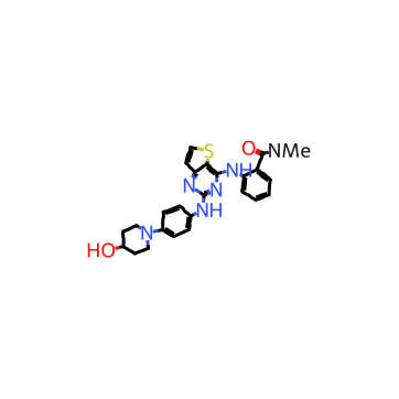 CNC(=O)c1ccccc1Nc1nc(Nc2ccc(N3CCC(O)CC3)cc2)nc2ccsc12